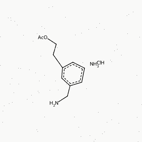 CC(=O)OCCc1cccc(CN)c1.Cl.N